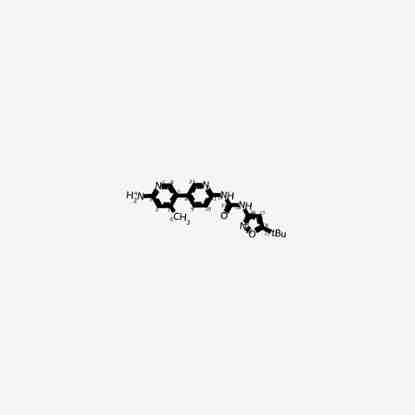 Cc1cc(N)ncc1-c1ccc(NC(=O)Nc2cc(C(C)(C)C)on2)nc1